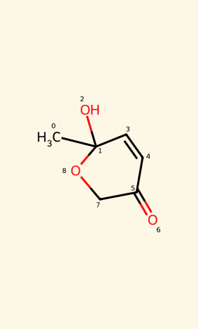 CC1(O)C=CC(=O)CO1